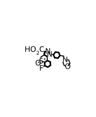 O=C(O)c1nn(-c2ccc(CN3CCOCC3)cc2)c2c1C[S+]([O-])c1c(F)cccc1-2